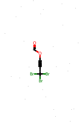 O=[C]OC#CC(Br)(Br)Br